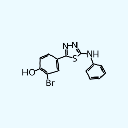 Oc1ccc(-c2nnc(Nc3ccccc3)s2)cc1Br